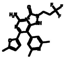 Cc1cc(-c2c(-c3ccc(C)o3)nc(N)[n+]3c(=O)n(CCC(F)(F)F)[nH]c23)cc(C)n1